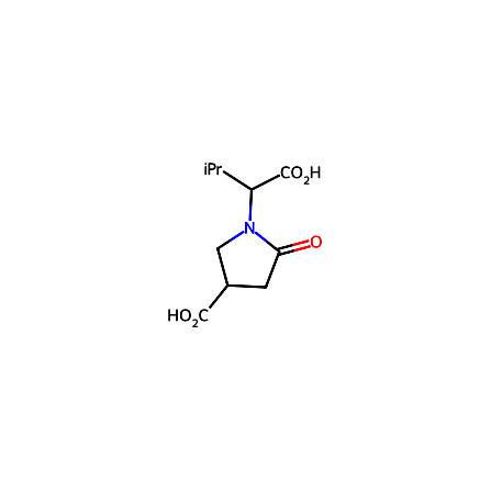 CC(C)C(C(=O)O)N1CC(C(=O)O)CC1=O